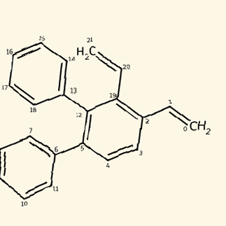 C=Cc1ccc(-c2ccccc2)c(-c2ccccc2)c1C=C